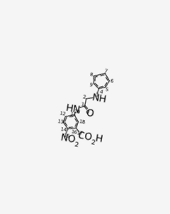 O=C(CNc1ccccc1)Nc1ccc([N+](=O)[O-])c(C(=O)O)c1